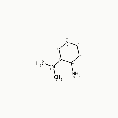 CN(C)C1CNCCC1N